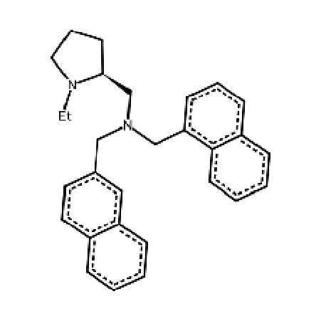 CCN1CCC[C@H]1CN(Cc1ccc2ccccc2c1)Cc1cccc2ccccc12